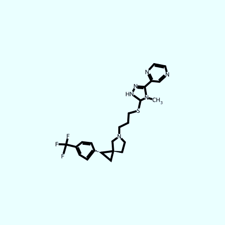 CN1C(c2cnccn2)=NNC1SCCCN1CC[C@]2(C[C@@H]2c2ccc(C(F)(F)F)cc2)C1